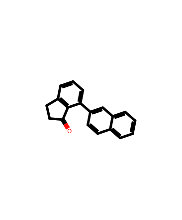 O=C1CCc2cccc(-c3ccc4ccccc4c3)c21